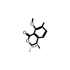 COc1c(C)ccc2c1C(=O)O[C@@H](C)[C@@H]2C